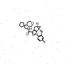 O=C(NCC1(N2CCOCC2)CCCC1)c1nn(-c2ccc(F)cc2F)c2c1C[C@H]1C[C@@H]21